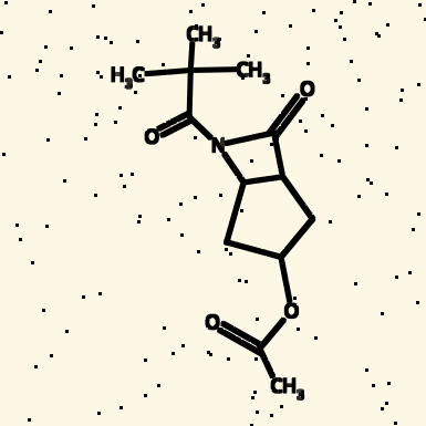 CC(=O)OC1CC2C(=O)N(C(=O)C(C)(C)C)C2C1